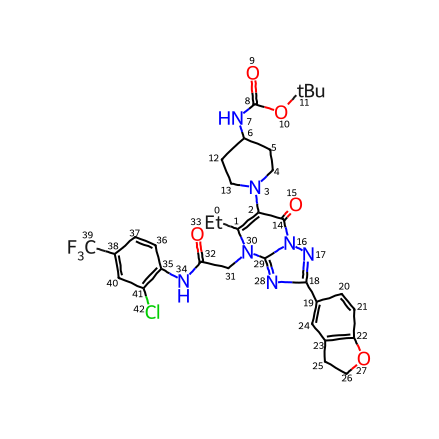 CCc1c(N2CCC(NC(=O)OC(C)(C)C)CC2)c(=O)n2nc(-c3ccc4c(c3)CCO4)nc2n1CC(=O)Nc1ccc(C(F)(F)F)cc1Cl